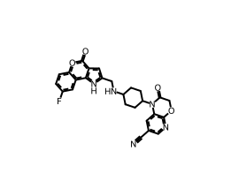 N#Cc1cnc2c(c1)N(C1CCC(NCc3cc4c(=O)oc5ccc(F)cc5c4[nH]3)CC1)C(=O)CO2